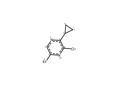 CCc1cnc(C2CC2)c(Cl)n1